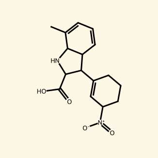 CC1=CC=CC2C1NC(C(=O)O)C2C1=CC([N+](=O)[O-])CCC1